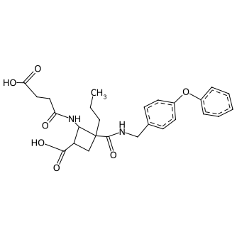 CCCC1(C(=O)NCc2ccc(Oc3ccccc3)cc2)CC(C(=O)O)C1NC(=O)CCC(=O)O